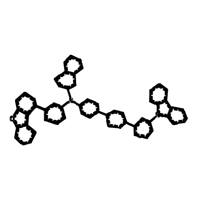 c1cc(-c2cccc3oc4ccccc4c23)cc(N(c2ccc(-c3ccc(-c4cccc(-n5c6ccccc6c6ccccc65)c4)cc3)cc2)c2ccc3ccccc3c2)c1